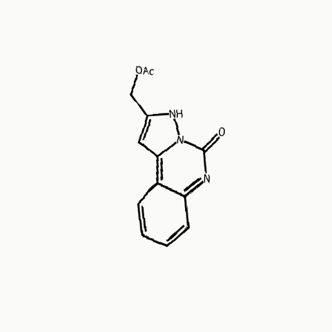 CC(=O)OCc1cc2c3ccccc3nc(=O)n2[nH]1